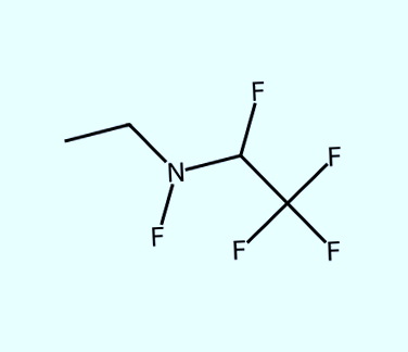 CCN(F)C(F)C(F)(F)F